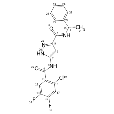 C[C@H](NC(=O)c1cc(NC(=O)c2cc(F)c(F)cc2Cl)[nH]n1)c1ccccc1